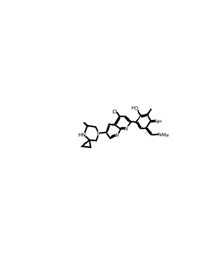 CN/C=C1/C=C(c2cc(Cl)c3cc(N4CC(C)NC5(CC5)C4)cnc3n2)C(O)=C(C)C1=N